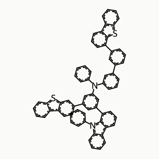 c1ccc(N(c2cccc(-c3cccc(-c4cccc5c4sc4ccccc45)c3)c2)c2cc(-c3ccc4c(c3)sc3ccccc34)cc(-c3cccc4c5ccccc5n(-c5ccccc5)c34)c2)cc1